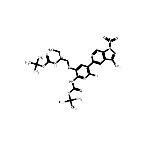 CC[C@@H](COc1cc(-c2cc3c(C)nn([SH](=O)=O)c3cn2)c(Cl)nc1NC(=O)OC(C)(C)C)NC(=O)OC(C)(C)C